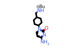 CCCCNCC1CCC(n2ccc(N)nc2=O)CC1